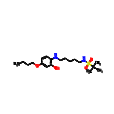 CCCCOc1ccc(NCCCCCNS(=O)(=O)C(C)(C)C)c(O)c1